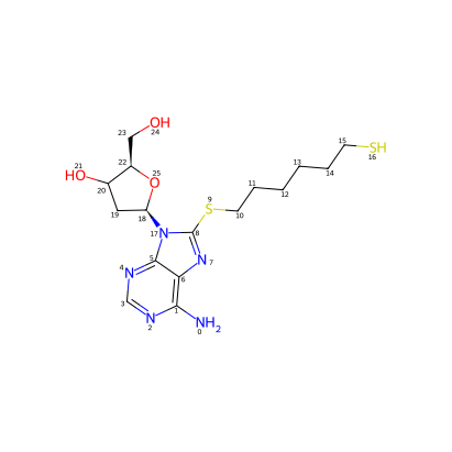 Nc1ncnc2c1nc(SCCCCCCS)n2[C@H]1CC(O)[C@@H](CO)O1